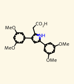 COc1cc(OC)cc(-c2cc(-c3cc(OC)cc(OC)c3)c(CC(=O)O)[nH]2)c1